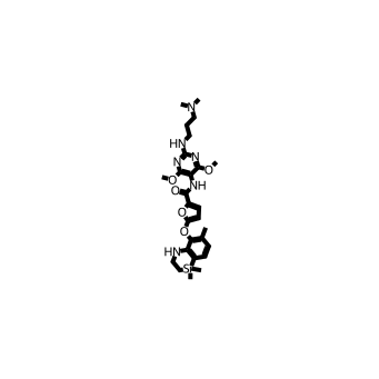 COc1nc(NCCCN(C)C)nc(OC)c1NC(=O)c1ccc(Oc2c(C)ccc3c2NCC[Si]3(C)C)o1